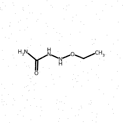 CCONNC(N)=O